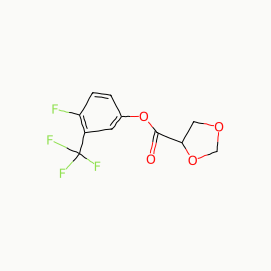 O=C(Oc1ccc(F)c(C(F)(F)F)c1)C1COCO1